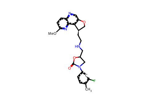 COc1ccc2ncc3c(c2n1)[C@H](CCNCC1CN(c2ccc(C)c(F)c2)C(=O)O1)CO3